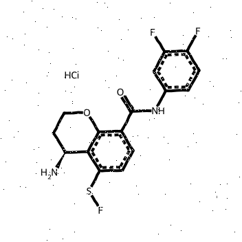 Cl.N[C@H]1CCOc2c(C(=O)Nc3ccc(F)c(F)c3)ccc(SF)c21